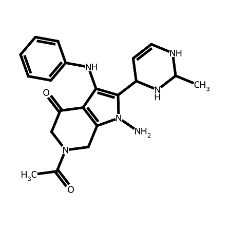 CC(=O)N1CC(=O)c2c(Nc3ccccc3)c(C3C=CNC(C)N3)n(N)c2C1